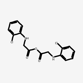 O=C(CNc1ccccc1Cl)OC(=O)CNc1ccccc1Cl